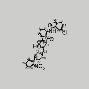 O=C(Nc1cccc2c1C(=O)N(CC(O)CN1CCN(c3ccccc3[N+](=O)[O-])CC1)C2=O)C1=CC(Cl)=CCC1=S